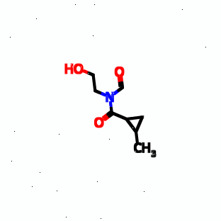 CC1CC1C(=O)N(C=O)CCO